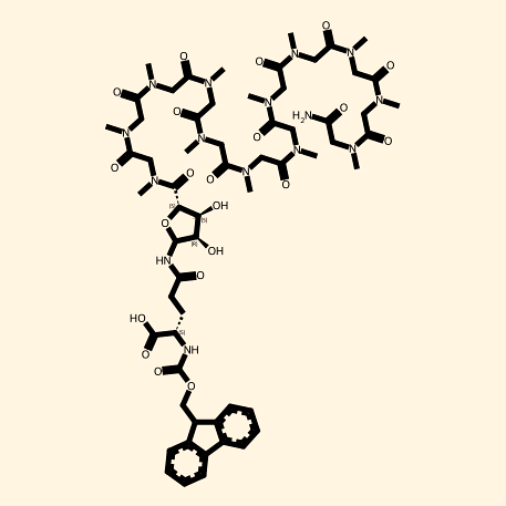 CN(CC(N)=O)C(=O)CN(C)C(=O)CN(C)C(=O)CN(C)C(=O)CN(C)C(=O)CN(C)C(=O)CN(C)C(=O)CN(C)C(=O)CN(C)C(=O)CN(C)C(=O)CN(C)C(=O)CN(C)C(=O)[C@H]1OC(NC(=O)CC[C@H](NC(=O)OCC2c3ccccc3-c3ccccc32)C(=O)O)[C@H](O)[C@@H]1O